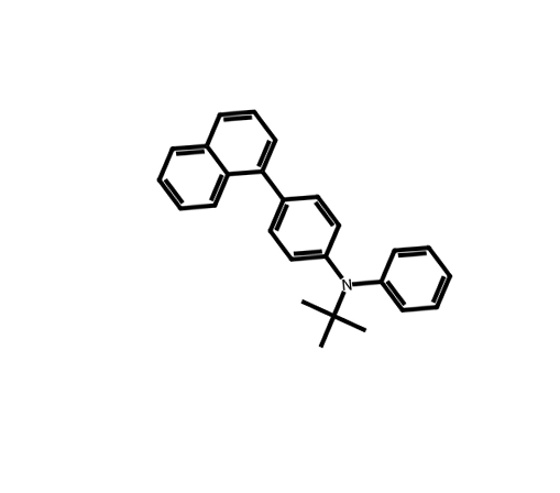 CC(C)(C)N(c1ccccc1)c1ccc(-c2cccc3ccccc23)cc1